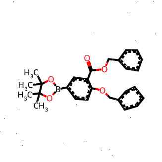 CC1(C)OB(c2ccc(OCc3ccccc3)c(C(=O)OCc3ccccc3)c2)OC1(C)C